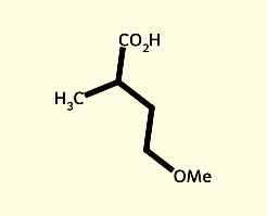 COCCC(C)C(=O)O